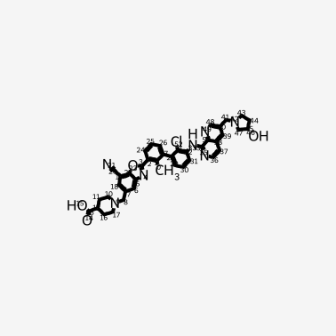 Cc1c(-c2nc3cc(CN4CCC(C(=O)O)CC4)cc(C#N)c3o2)cccc1-c1cccc(Nc2nccc3cc(CN4CC[C@@H](O)C4)cnc23)c1Cl